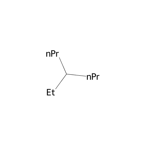 [CH2]CCC(C[CH2])CCC